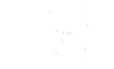 N#Cc1cnc2c(Cl)cc(N[C@@H](c3ccc(F)cc3)c3cn(C4CCNCC4)nn3)cc2c1Nc1ccc(F)c(Cl)c1